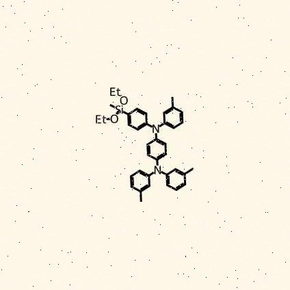 CCO[Si](C)(OCC)c1ccc(N(c2ccc(N(c3cccc(C)c3)c3cccc(C)c3)cc2)c2cccc(C)c2)cc1